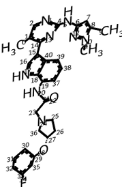 Cc1cnc(Nc2cc(C)n(C)n2)nc1-c1c[nH]c2c(NC(=O)CN3CC[C@H](Oc4cccc(F)c4)C3)cccc12